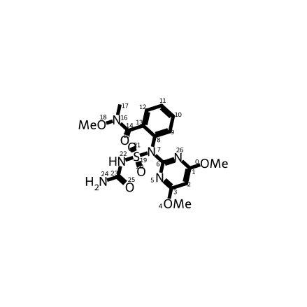 COc1cc(OC)nc(N(c2ccccc2C(=O)N(C)OC)S(=O)(=O)NC(N)=O)n1